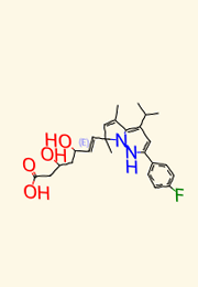 CC1=CC(C)(/C=C/C(O)CC(O)CC(=O)O)N2NC(c3ccc(F)cc3)=CC(C(C)C)=C12